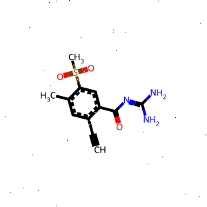 C#Cc1cc(C)c(S(C)(=O)=O)cc1C(=O)N=C(N)N